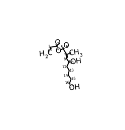 C=CC(=O)OC(=O)C(C)=CC(O)CCCCCO